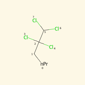 CCCCC(Cl)(Cl)C(Cl)Cl